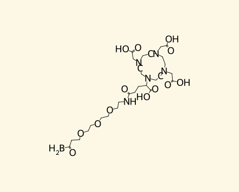 BC(=O)CCOCCOCCOCCNC(=O)CCC(C(=O)O)N1CCN(CC(=O)O)CCN(CC(=O)O)CCN(CC(=O)O)CC1